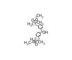 CCOC(=O)C(C)(C)Cc1cccc(C(O)c2cccc(CC(C)(C)C(=O)OCC)c2)c1